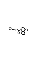 O=C1CCCN(C(=O)CCCCCl)c2ccccc21